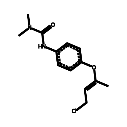 CC(=CCCl)Oc1ccc(NC(=O)N(C)C)cc1